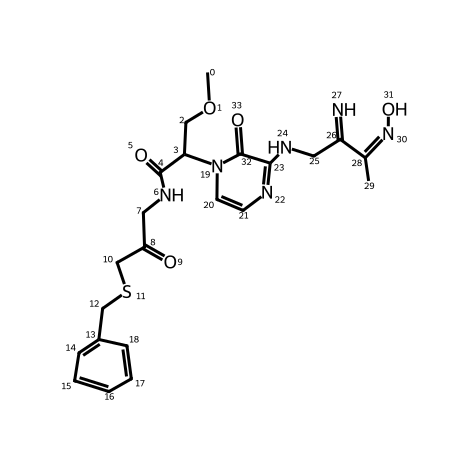 COCC(C(=O)NCC(=O)CSCc1ccccc1)n1ccnc(NCC(=N)/C(C)=N\O)c1=O